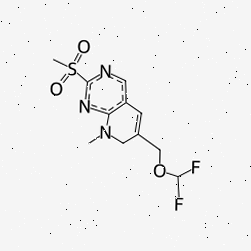 CN1CC(COC(F)F)=Cc2cnc(S(C)(=O)=O)nc21